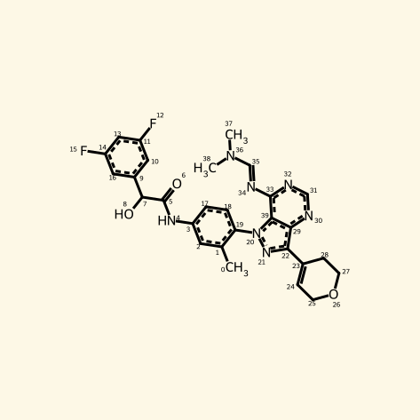 Cc1cc(NC(=O)C(O)c2cc(F)cc(F)c2)ccc1-n1nc(C2=CCOCC2)c2ncnc(/N=C/N(C)C)c21